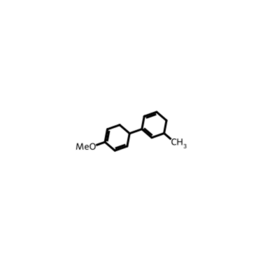 COC1=CCC(C2=CC(C)CC=C2)C=C1